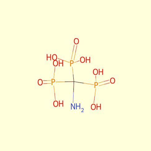 NC(P(=O)(O)O)(P(=O)(O)O)P(=O)(O)O